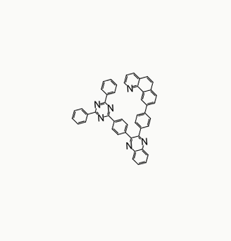 c1ccc(-c2nc(-c3ccccc3)nc(-c3ccc(-c4nc5ccccc5nc4-c4ccc(-c5ccc6ccc7cccnc7c6c5)cc4)cc3)n2)cc1